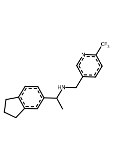 CC(NCc1ccc(C(F)(F)F)nc1)c1ccc2c(c1)CCC2